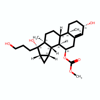 COC(=O)O[C@@H]1CC2=C[C@@H](O)CC[C@]2(C)[C@H]2CC[C@@]3(C)[C@@H]([C@@H]4C[C@@H]4[C@@]3(O)CCCO)[C@H]12